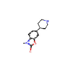 Cn1c(=O)oc2cc(C3CCNCC3)ccc21